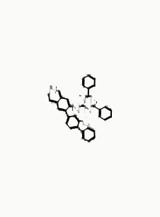 c1ccc(-c2nc(-c3ccccc3)nc(-n3c4cc5cnccc5cc4c4ccc5c6ccccc6oc5c43)n2)cc1